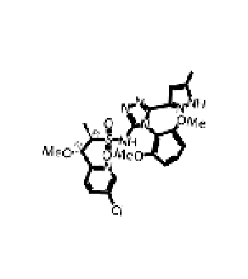 COc1cccc(OC)c1-n1c(NS(=O)(=O)[C@H](C)[C@@H](OC)c2ccc(Cl)cn2)nnc1-c1cc(C)[nH]n1